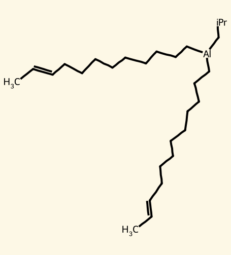 CC=CCCCCCCCC[CH2][Al]([CH2]CCCCCCCCC=CC)[CH2]C(C)C